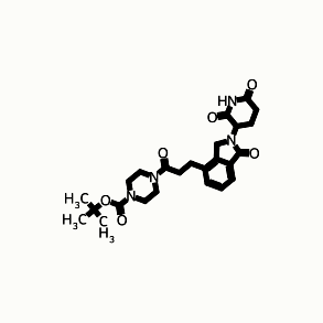 CC(C)(C)OC(=O)N1CCN(C(=O)CCc2cccc3c2CN(C2CCC(=O)NC2=O)C3=O)CC1